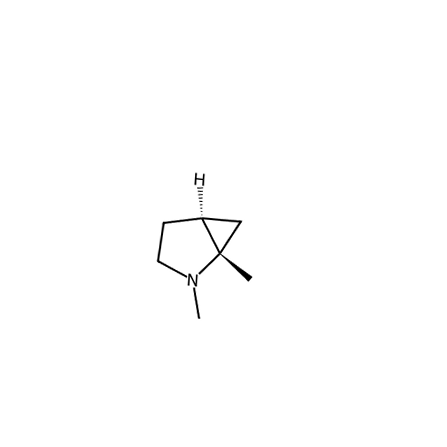 CN1CC[C@H]2C[C@@]21C